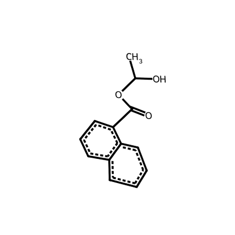 CC(O)OC(=O)c1cccc2ccccc12